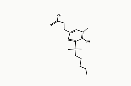 CCCCCC(C)(C)c1cc(CCC(=O)O)cc(C)c1O